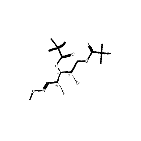 CON=C[C@@H](F)[C@H](OC(=O)C(C)(C)C)[C@@H](Br)COC(=O)C(C)(C)C